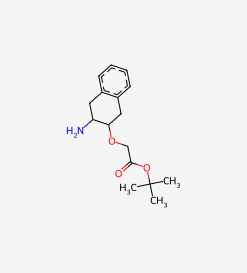 CC(C)(C)OC(=O)COC1Cc2ccccc2CC1N